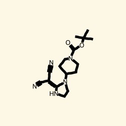 CC(C)(C)OC(=O)N1CCC(N2CCNC2=C(C#N)C#N)CC1